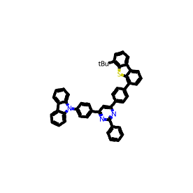 CC(C)(C)c1cccc2c1sc1c(-c3ccc(-c4cc(-c5ccc(-n6c7ccccc7c7ccccc76)cc5)nc(-c5ccccc5)n4)cc3)cccc12